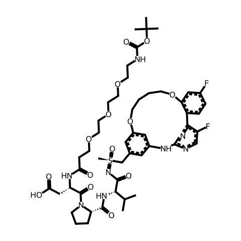 CC(C)[C@H](NC(=O)[C@@H]1CCCN1C(=O)[C@H](CC(=O)O)NC(=O)CCOCCOCCOCCNC(=O)OC(C)(C)C)C(=O)N=[S@](C)(=O)Cc1cc2cc(c1)OCCCCOc1cc(F)ccc1-c1nc(ncc1F)N2